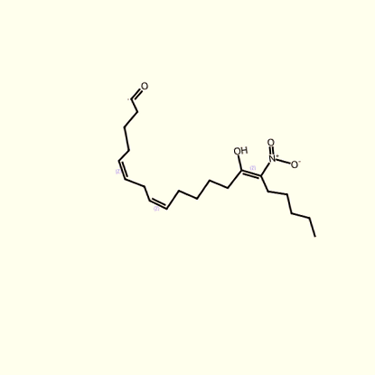 CCCCC/C(=C(/O)CCCC/C=C\C/C=C\CCC[C]=O)[N+](=O)[O-]